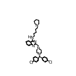 Clc1ccc(C(c2ccc(Cl)cc2)N2CCN(Cc3nc(NCCCCCN4CCCCC4)c4ccccc4n3)CC2)cc1